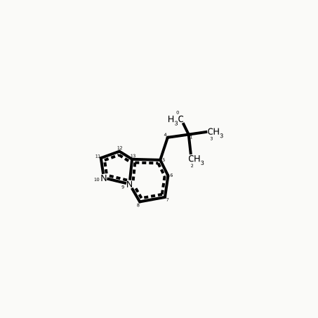 CC(C)(C)Cc1cccn2nccc12